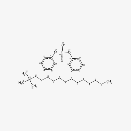 CCCCCCCCCCCCC[N+](C)(C)C.O=P([O-])(Oc1ccccc1)Oc1ccccc1